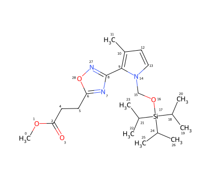 COC(=O)CCc1nc(-c2c(C)ccn2CO[Si](C(C)C)(C(C)C)C(C)C)no1